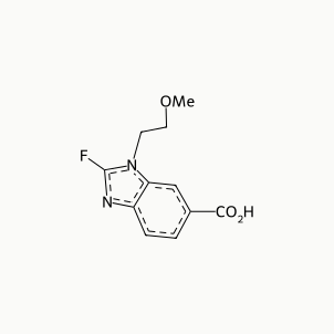 COCCn1c(F)nc2ccc(C(=O)O)cc21